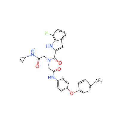 O=C(CN(CC(=O)NC1CC1)C(=O)c1cc2cccc(F)c2[nH]1)Nc1ccc(Oc2ccc(C(F)(F)F)cc2)cc1